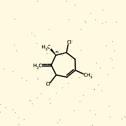 C=C1C(Cl)C=C(C)CC(Cl)[C@@H]1C